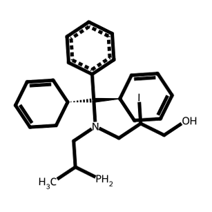 CC(P)CN(CC(I)CO)C(c1ccccc1)([C@H]1C=CC=CC1)[C@H]1C=CC=CC1